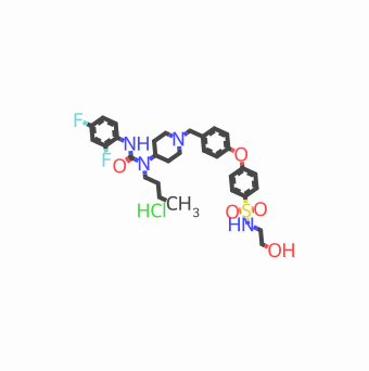 CCCCN(C(=O)Nc1ccc(F)cc1F)C1CCN(Cc2ccc(Oc3ccc(S(=O)(=O)NCCO)cc3)cc2)CC1.Cl